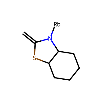 C=C1SC2CCCCC2[N]1[Rb]